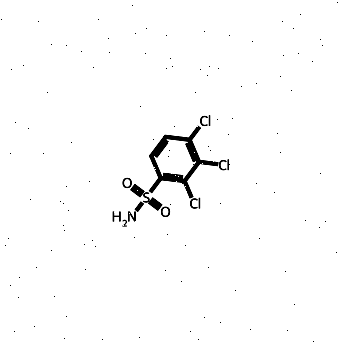 NS(=O)(=O)c1ccc(Cl)c(Cl)c1Cl